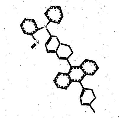 C=Nc1ccccc1N(C1=CC=C2C=C(c3c4ccccc4c(C4=CC=C(C)CC4)c4ccccc34)CCC2C1)c1ccccc1